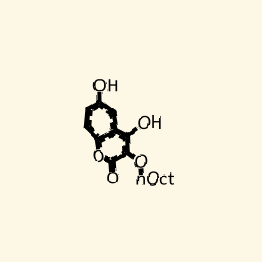 CCCCCCCCOc1c(O)c2cc(O)ccc2oc1=O